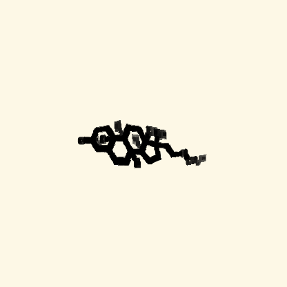 C[C@]12CCC(=O)C=C1C=C[C@@H]1[C@@H]2CC[C@@]2(C)[C@H]1CC[C@@]2(O)CCOC(=O)O